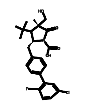 CC(C)(C)C1[C@@H](Cc2ccc(-c3cc(Cl)ccc3F)cc2)N(C(=O)O)C(=O)[C@]1(C)CO